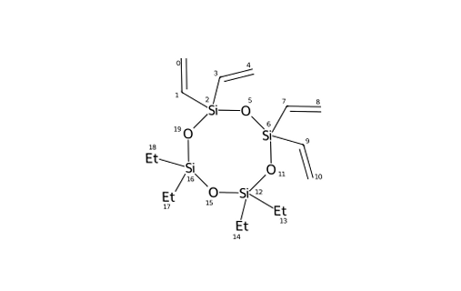 C=C[Si]1(C=C)O[Si](C=C)(C=C)O[Si](CC)(CC)O[Si](CC)(CC)O1